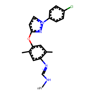 CCCN/C=N/c1cc(C)c(Oc2ccn(-c3ccc(Cl)cc3)n2)cc1C